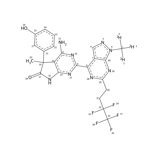 [2H]C([2H])([2H])n1ncc2c(-c3nc(N)c4c(n3)NC(=O)C4(C)c3cccc(O)c3)nc(CCC(F)(F)C(F)(F)F)nc21